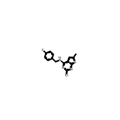 Cc1cc2c(NCc3ccc(F)cc3)nc(Cl)nc2s1